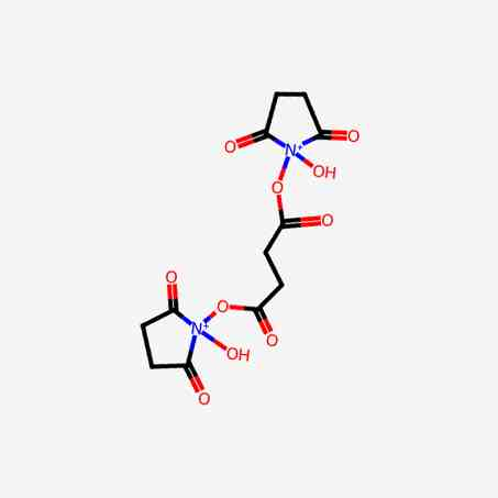 O=C(CCC(=O)O[N+]1(O)C(=O)CCC1=O)O[N+]1(O)C(=O)CCC1=O